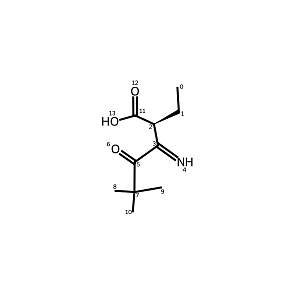 CC[C@@H](C(=N)C(=O)C(C)(C)C)C(=O)O